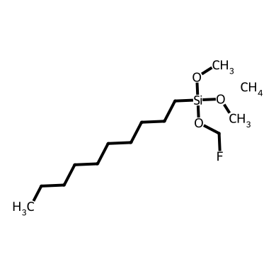 C.CCCCCCCCCC[Si](OC)(OC)OCF